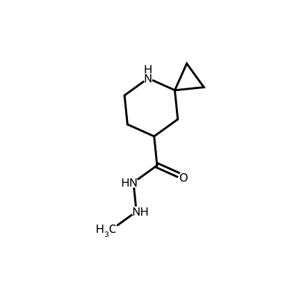 CNNC(=O)C1CCNC2(CC2)C1